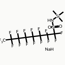 C[Si](C)(C)NS(=O)(=O)C(F)(F)C(F)(F)C(F)(F)C(F)(F)C(F)(F)C(F)(F)C(F)(F)C(F)(F)F.[NaH]